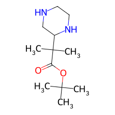 CC(C)(C)OC(=O)C(C)(C)C1CNCCN1